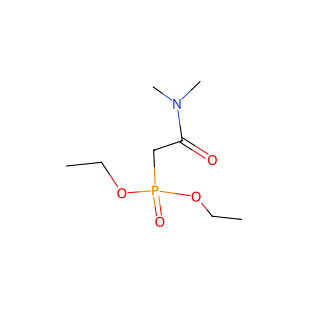 CCOP(=O)(CC(=O)N(C)C)OCC